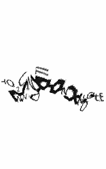 CC(C)(C)OC(=O)N1CC2(CCN(c3ccc(-c4cc(F)c5c(c4)C(=O)N(C(C(=O)O)c4ncn6c4CCC6)C5)cc3)CC2)C1